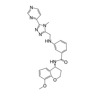 COc1cccc2c1OCC[C@@H]2NC(=O)c1cccc(NCc2nnc(-c3ccncn3)n2C)c1